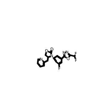 O=C1OCC(Cc2ccccn2)N1c1cc(F)cc(-c2nnc(C(F)F)o2)c1